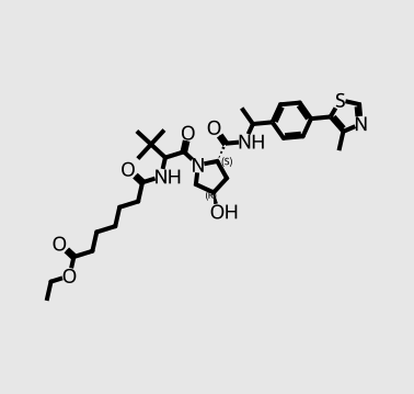 CCOC(=O)CCCCCC(=O)NC(C(=O)N1C[C@H](O)C[C@H]1C(=O)NC(C)c1ccc(-c2scnc2C)cc1)C(C)(C)C